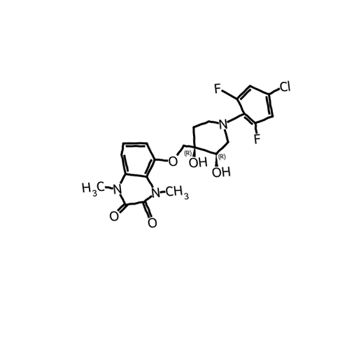 Cn1c(=O)c(=O)n(C)c2c(OC[C@]3(O)CCN(c4c(F)cc(Cl)cc4F)C[C@H]3O)cccc21